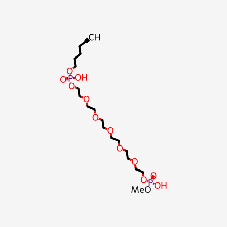 C#CCCCCOP(=O)(O)OCCOCCOCCOCCOCCOCCOP(=O)(O)OC